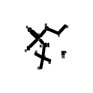 CCOP(=O)([S-])NC(C)(C)C.[K+]